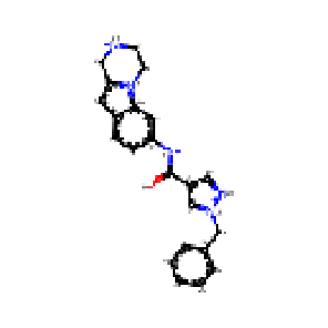 O=C(Nc1ccc2cc3n(c2c1)CCNC3)c1cnn(Cc2ccccc2)c1